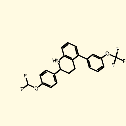 FC(F)Oc1ccc(C2CCc3c(cccc3-c3cccc(OC(F)(F)F)c3)N2)cc1